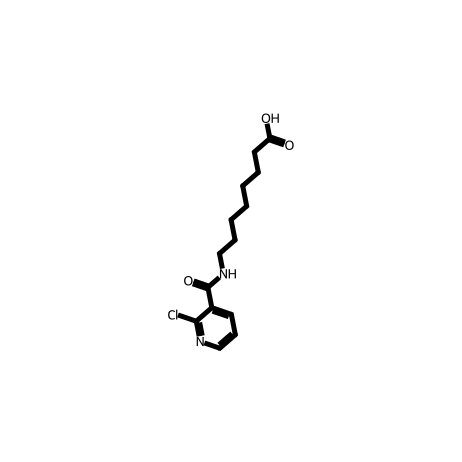 O=C(O)CCCCCCCNC(=O)c1cccnc1Cl